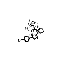 CC(C)(C)OC(=O)N1[C@@H]2CCC(C2)[C@H]1c1ncc(-c2ccc(Br)cc2)[nH]1